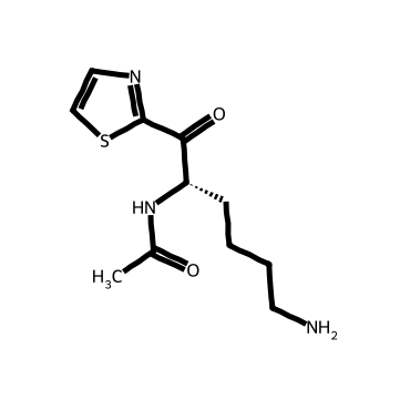 CC(=O)N[C@@H](CCCCN)C(=O)c1nccs1